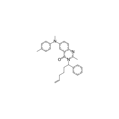 C=CCCCC(c1ccccc1)n1c(C)nc2ccc(N(C)c3ccc(C)cc3)cc2c1=O